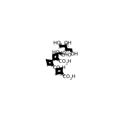 O=C(O)C1CCC1.O=C(O)C1CCC1.O=C(O)C1CCC1.O=CO.OCC(O)C(O)CO